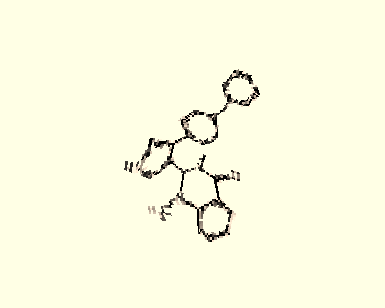 CN1c2ccccc2C(=O)NC1c1c[nH]nc1-c1ccc(-c2ccccc2)cc1